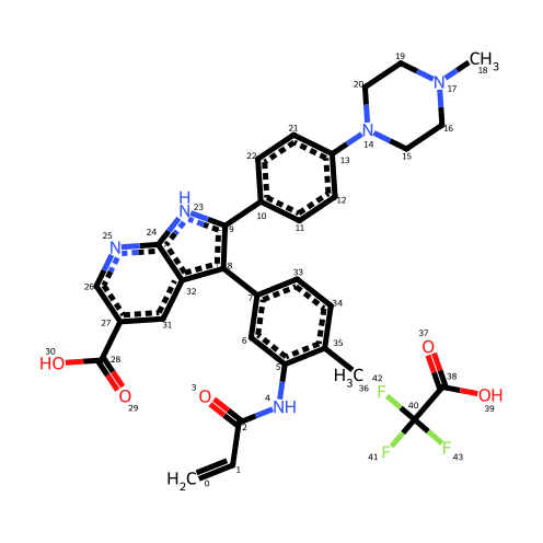 C=CC(=O)Nc1cc(-c2c(-c3ccc(N4CCN(C)CC4)cc3)[nH]c3ncc(C(=O)O)cc23)ccc1C.O=C(O)C(F)(F)F